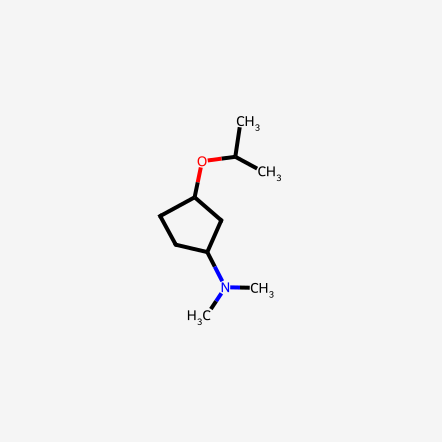 CC(C)OC1CCC(N(C)C)C1